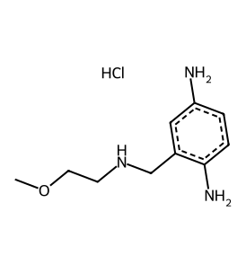 COCCNCc1cc(N)ccc1N.Cl